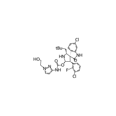 CC(C)(C)C[C@@H]1N[C@H](OC(=O)Nc2ccn(CCO)n2)[C@H](c2cccc(Cl)c2F)[C@]12C(=O)Nc1cc(Cl)ccc12